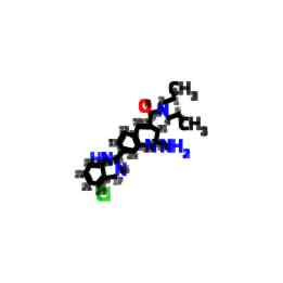 CCCN(CCC)C(=O)C1=Cc2ccc(C3=NCc4c(Cl)cccc4N3)cc2N=C(N)C1